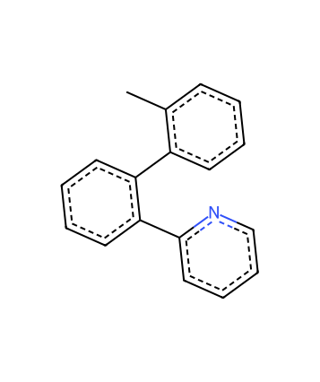 Cc1ccccc1-c1ccccc1-c1ccccn1